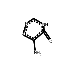 Nc1nnc[nH]c1=O